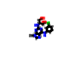 CCn1cnc2c(Nc3cccc(Cl)c3)nc(NC(CO)CO)nc21